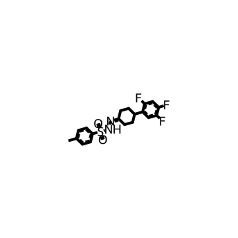 Cc1ccc(S(=O)(=O)NN=C2CCC(c3cc(F)c(F)cc3F)CC2)cc1